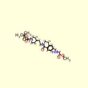 COC(=O)CNCc1ccc2c(c1)CCN(CCC1CCN(C(=O)OC(C)(C)C)CC1)C2=O